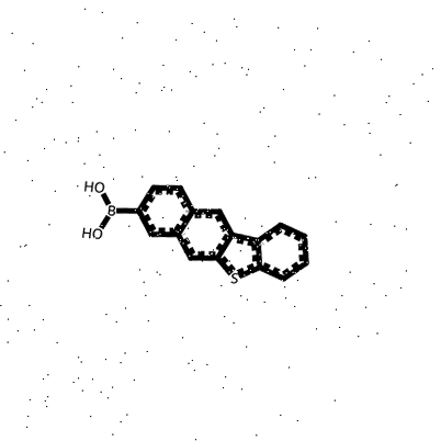 OB(O)c1ccc2cc3c(cc2c1)sc1ccccc13